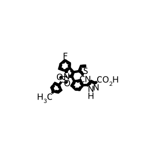 Cc1ccc(S(=O)(=O)n2c(-c3cccc(-c4cc(C(=O)O)n[nH]4)c3)c(-c3ccsc3C#N)c3cc(F)ccc32)cc1